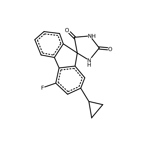 O=C1NC(=O)C2(N1)c1ccccc1-c1c(F)cc(C3CC3)cc12